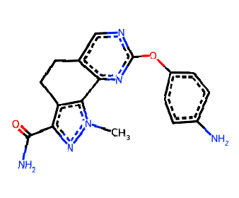 Cn1nc(C(N)=O)c2c1-c1nc(Oc3ccc(N)cc3)ncc1CC2